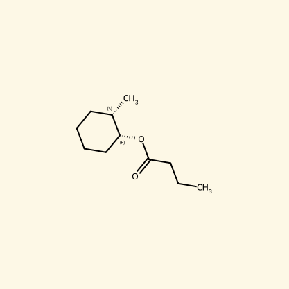 CCCC(=O)O[C@@H]1CCCC[C@@H]1C